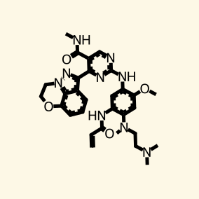 C=CC(=O)Nc1cc(Nc2ncc(C(=O)NC)c(-c3nn4c5c(cccc35)OCC4)n2)c(OC)cc1N(C)CCN(C)C